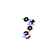 O=C(Nc1ccc(F)cc1)C1(C(=O)Nc2ccc(Oc3ccnc4c3OCCCN4)c(F)c2)CC1